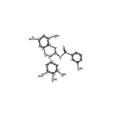 CC(=O)Oc1cccc(C(=O)O[C@@H]2Cc3c(OC(C)=O)cc(OC(C)=O)cc3O[C@H]2c2cc(OC(C)=O)c(OC(C)=O)c(OC(C)=O)c2)c1